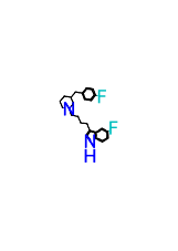 Fc1ccc(CC2CCCN(CCCCc3c[nH]c4ccc(F)cc34)C2)cc1